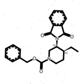 CC[C@H]1CCN(C(=O)OCc2ccccc2)C[C@H]1N1C(=O)c2ccccc2C1=O